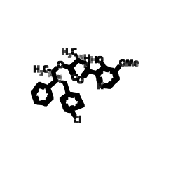 COc1ccnc(C(=O)N[C@@H](C)C(=O)O[C@@H](C)[C@H](Cc2ccc(Cl)cc2)c2ccccc2)c1O